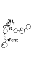 B[C@H]1CC(OC2CCCC(CCCC(CCCCC)C3CCCCCCC3)CC2)[C@@H](COCC2CCC(C3CCCCC(C4CCCCCC4)CC3)CC2)O1